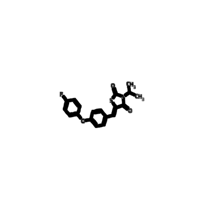 CC(C)N1C(=O)S/C(=C\c2ccc(Oc3ccc(F)cc3)cc2)C1=O